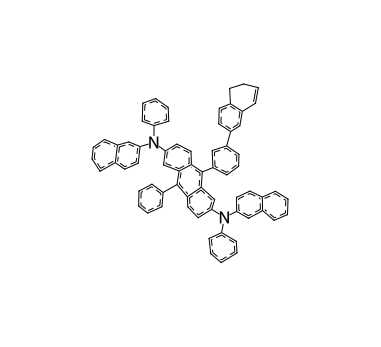 C1=Cc2cc(-c3cccc(-c4c5ccc(N(c6ccccc6)c6ccc7ccccc7c6)cc5c(-c5ccccc5)c5ccc(N(c6ccccc6)c6ccc7ccccc7c6)cc45)c3)ccc2CC1